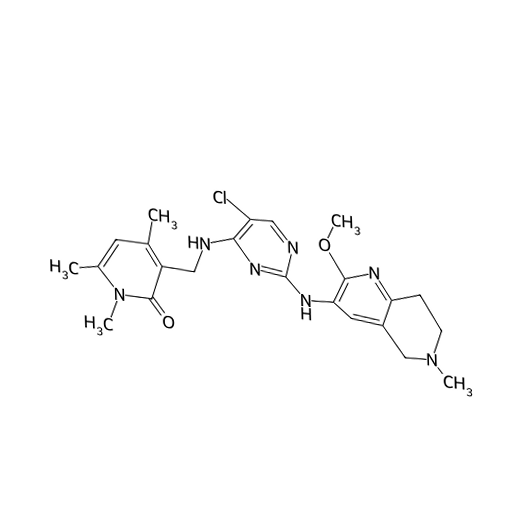 COc1nc2c(cc1Nc1ncc(Cl)c(NCc3c(C)cc(C)n(C)c3=O)n1)CN(C)CC2